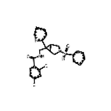 O=C(NCC1(c2ccccn2)C2CN(S(=O)(=O)c3ccccc3)CC21)c1ccc(Cl)cc1Cl